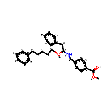 COC(=O)c1ccc(CNC(Cc2ccccc2)OCCCCCc2ccccc2)cc1